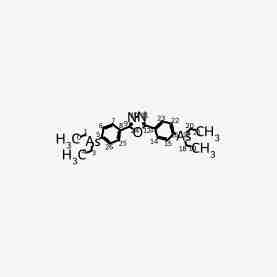 CC[As](CC)c1ccc(-c2nnc(-c3ccc([As](CC)CC)cc3)o2)cc1